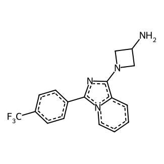 NC1CN(c2nc(-c3ccc(C(F)(F)F)cc3)n3ccccc23)C1